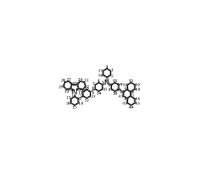 c1ccc(N(c2ccc(-c3ccc(-c4ccccc4-n4c5ccccc5c5ccccc54)cc3)cc2)c2ccc(-c3cc4ccccc4c4ccccc34)cc2)cc1